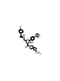 CN1CCC2(CCN(C(=O)[C@H](CCCN[C@@H]3C[C@H]3c3ccc(F)cc3)NC(=O)c3ccc(-n4ccnn4)cc3)CC2)C1